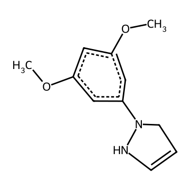 COc1cc(OC)cc(N2CC=CN2)c1